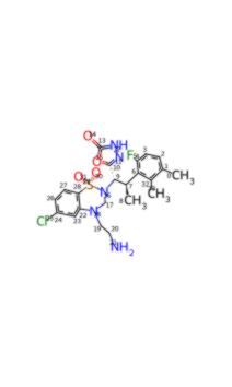 Cc1ccc(F)c([C@@H](C)[C@@H](c2n[nH]c(=O)o2)N2CN(CCN)c3cc(Cl)ccc3S2(=O)=O)c1C